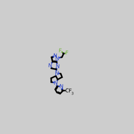 FC(F)Cn1ncc2ncc(N3CCC4C3CCN4c3cccc(C(F)(F)F)n3)nc21